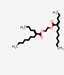 CCCC=C(CCCCCCC)C(=O)OCCOC(=O)C(=CCCC)CCCCCCC